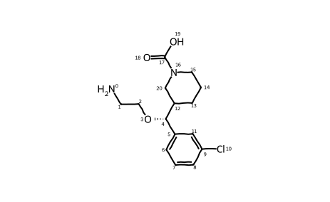 NCCO[C@@H](c1cccc(Cl)c1)C1CCCN(C(=O)O)C1